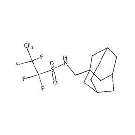 O=S(=O)(NCC12CC3CC(CC(C3)C1)C2)C(F)(F)C(F)(F)C(F)(F)F